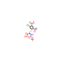 COC(=O)c1cc([N+](=O)[O-])c(SC[C@H](NC(=O)OC(C)(C)C)C(=O)O)cc1Cl